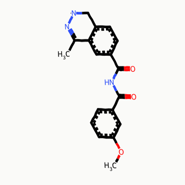 COc1cccc(C(=O)NC(=O)c2ccc3c(c2)C(C)=N[N]C3)c1